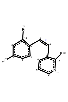 Fc1ccc(/C=C\c2cccnc2F)c(Br)c1